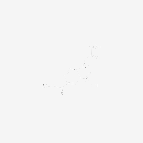 COC(=O)c1ccc2c(c1)c(C#N)cn2CC(=O)OCC(C)C